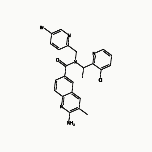 Cc1cc2cc(C(=O)N(Cc3ccc(Br)cn3)C(C)c3ncccc3Cl)ccc2nc1N